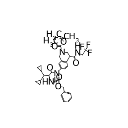 CC(C)(C)OC(=O)N1Cc2cc(NC(=O)[C@@H](NC(=O)OCc3ccccc3)C(C3CC3)C3CC3)ccc2C(C(=O)NCC(F)(F)F)C1